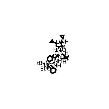 CCN(C(C)(C)C)S(=O)(=O)CC1(NC(=O)N[C@H](C(=O)N2C[C@H]3[C@@H]([C@H]2C(=O)N[C@@H](CCC2CC2)C(=O)C(=O)NC2CC2)C3(C)C)C2(C)CCCCC2)CCCCC1